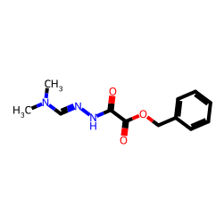 CN(C)/C=N/NC(=O)C(=O)OCc1ccccc1